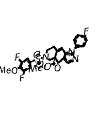 COC(=O)[C@]12Cc3cnn(-c4ccc(F)cc4)c3C=C1CCN(S(=O)(=O)c1cc(F)c(OC)c(F)c1)C2